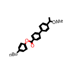 CCCCc1ccc(OC(=O)c2ccc(-c3ccc(C(C)OC)cc3)cc2)cc1